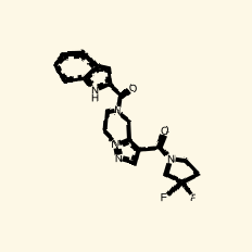 O=C(c1cc2ccccc2[nH]1)N1CCn2ncc(C(=O)N3CCC(F)(F)C3)c2C1